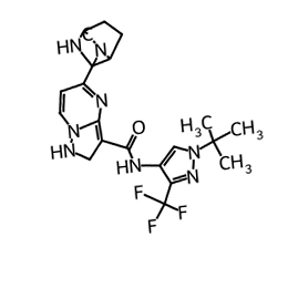 CC(C)(C)n1cc(NC(=O)C2=C3N=C(N4CC5CCC4CN5)C=CN3NC2)c(C(F)(F)F)n1